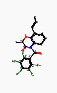 C/C=C/c1cccc2c1OC(C)C(=O)N2C(=O)c1c(F)c(F)c(F)c(F)c1F